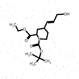 CCOC(=O)C1CC(C=CCO)CCN1C(=O)OC(C)(C)C